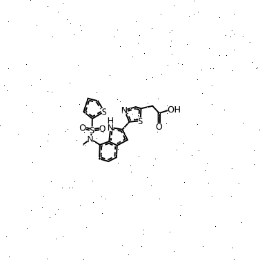 CN(c1cccc2cc(-c3ncc(CC(=O)O)s3)[nH]c12)S(=O)(=O)c1cccs1